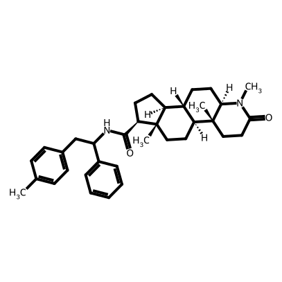 Cc1ccc(CC(NC(=O)[C@H]2CC[C@H]3[C@@H]4CC[C@H]5N(C)C(=O)CC[C@]5(C)[C@H]4CC[C@]23C)c2ccccc2)cc1